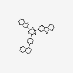 c1ccc2sc(-c3nc(-c4ccc(-c5cccc6ccccc56)cc4)nc(-c4ccc5c(c4)sc4ccccc45)n3)cc2c1